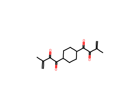 C=C(C)C(=O)C(=O)C1CCC(C(=O)C(=O)C(=C)C)CC1